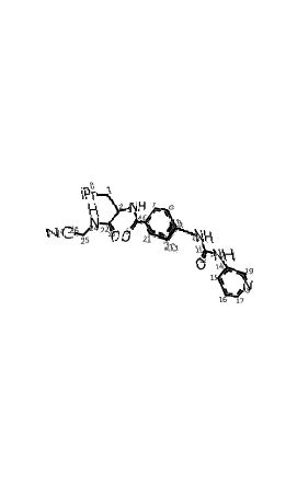 CC(C)CC(NC(=O)c1ccc(NC(=O)Nc2cccnc2)cc1)C(=O)NCC#N